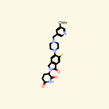 COc1cncc(CN2CCN(c3cc4c(cc3F)C(=O)N(C3CCC(=O)NC3=O)C4)CC2)c1